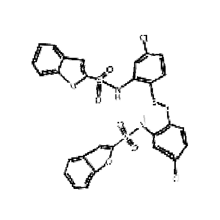 O=S(=O)(Nc1cc(Cl)ccc1SSc1ccc(Cl)cc1NS(=O)(=O)c1cc2ccccc2o1)c1cc2ccccc2o1